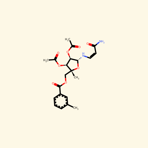 CC(=O)O[C@H]1[C@H](N/C=C\C(N)=O)O[C@](C)(COC(=O)c2cccc(C)c2)[C@H]1OC(C)=O